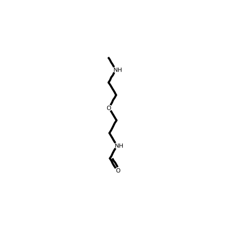 CNCCOCCNC=O